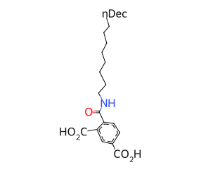 CCCCCCCCCCCCCCCCCCNC(=O)c1ccc(C(=O)O)cc1C(=O)O